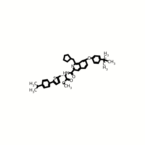 COC(=O)[C@H](Cc1ccc(-c2ccc(C(C)C)cc2)s1)NC(=O)c1cc2ccc(Oc3ccc(C(C)(C)C)cc3)cc2c(CC2CCCC2)n1